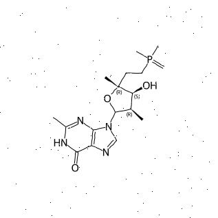 C=P(C)(C)CC[C@@]1(C)OC(n2cnc3c(=O)[nH]c(C)nc32)[C@H](C)[C@@H]1O